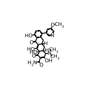 COc1cncc(-c2ccc(O)c3c2C[C@@H]2C[C@H]4C(N(C)C)C(O)=C(C(N)=O)C(=O)[C@@]4(O)C(O)=C2C3=O)c1